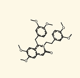 COc1ccc(CCn2c(Cc3ccc(OC)c(OC)c3)c3cc(OC)c(OC)cc3cc2=O)cc1OC